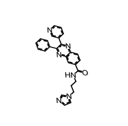 O=C(NCCCn1ccnc1)c1ccc2nc(-c3cccnc3)c(-c3ccccc3)nc2c1